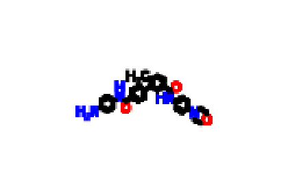 Cc1ccc(C(=O)Nc2ccc(N3CCOCC3)cc2)cc1-c1ccc(C(=O)Nc2ccc(N)cc2)cc1